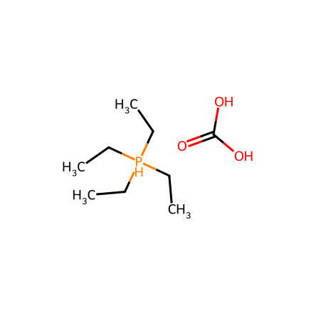 CC[PH](CC)(CC)CC.O=C(O)O